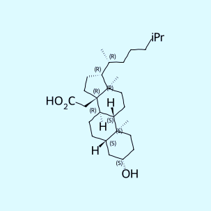 CC(C)CCC[C@@H](C)[C@H]1CC[C@@]2(CC(=O)O)[C@@H]3CC[C@H]4C[C@@H](O)CC[C@]4(C)[C@H]3CC[C@]12C